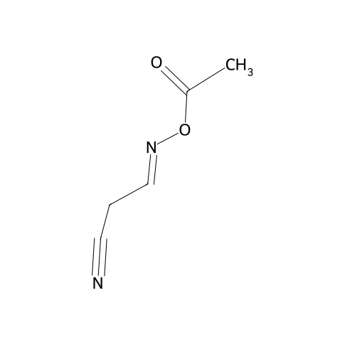 CC(=O)ON=CCC#N